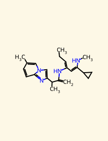 C=C(NC(=C\CC)/C=C(\NC)C1CC1)C(C)c1cn2cc(C)ccc2n1